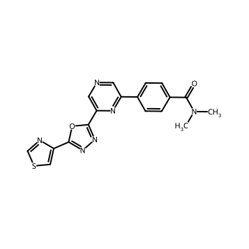 CN(C)C(=O)c1ccc(-c2cncc(-c3nnc(-c4cscn4)o3)n2)cc1